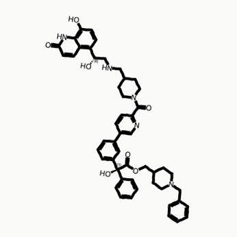 O=C(c1ccc(-c2cccc([C@](O)(C(=O)OCC3CCN(Cc4ccccc4)CC3)c3ccccc3)c2)cn1)N1CCC(CNC[C@H](O)c2ccc(O)c3[nH]c(=O)ccc23)CC1